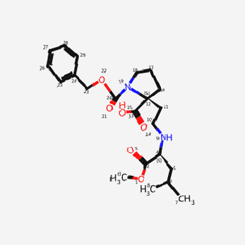 COC(=O)[C@H](CC(C)C)NCC[C@]1(C(=O)O)CCCN1C(=O)OCc1ccccc1